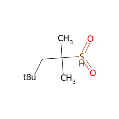 CC(C)(C)CC(C)(C)[SH](=O)=O